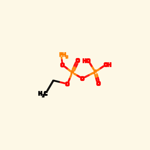 CCOP(=O)(OP)OP(=O)(O)O